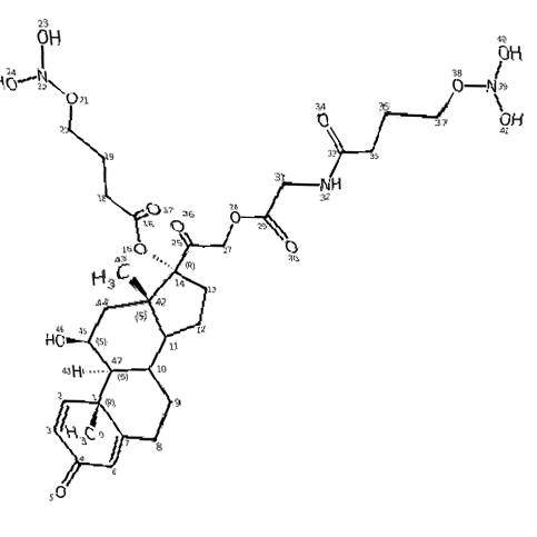 C[C@]12C=CC(=O)C=C1CCC1C3CC[C@](OC(=O)CCCON(O)O)(C(=O)COC(=O)CNC(=O)CCCON(O)O)[C@@]3(C)C[C@H](O)[C@@H]12